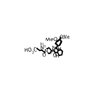 COc1ccc(C2=NN(C3CCN(C(=O)[C@@H](N)CCC(=O)O)CC3)C(=O)[C@@H]3CCCC[C@H]23)cc1OC